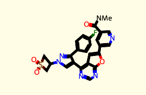 CNC(=O)c1cncc(-c2cc3c(-c4cn(C5CS(=O)(=O)C5)nc4-c4ccc(F)cc4)ncnc3o2)c1